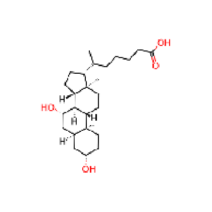 CC(CCCCC(=O)O)[C@H]1CC[C@H]2[C@@H]3[C@@H](O)C[C@@H]4C[C@@H](O)CC[C@]4(C)[C@H]3CC[C@]12C